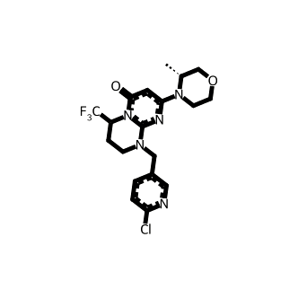 C[C@@H]1COCCN1c1cc(=O)n2c(n1)N(Cc1ccc(Cl)nc1)CCC2C(F)(F)F